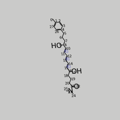 Cc1ccc(CCCC(O)/C=C/C=C/C=C/C(O)CCCC(=O)N(C)C)cc1